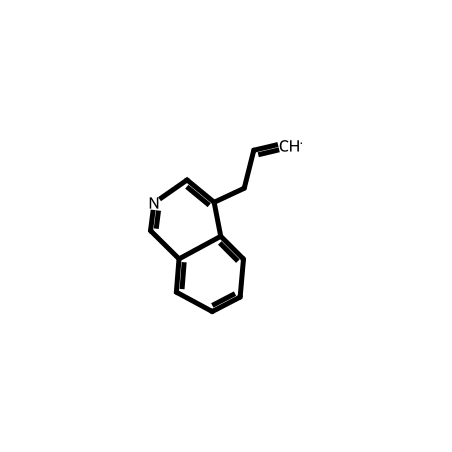 [CH]=CCc1cncc2ccccc12